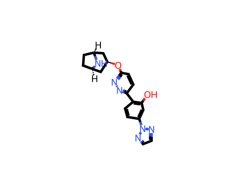 Oc1cc(-n2nccn2)ccc1-c1ccc(O[C@H]2C[C@H]3CC[C@@H](C2)N3)nn1